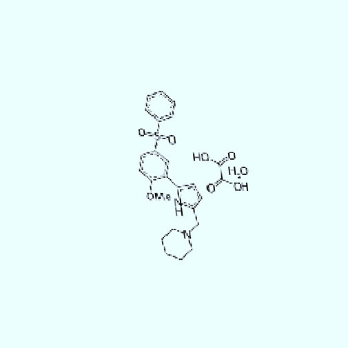 COc1ccc(S(=O)(=O)c2ccccc2)cc1-c1ccc(CN2CCCCC2)[nH]1.O.O=C(O)C(=O)O